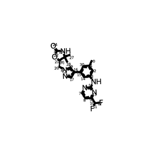 Cc1cc(Nc2nccc(C(F)F)n2)cc(-c2cnn(C[C@H]3OC(=O)NC3(C)C)c2)c1